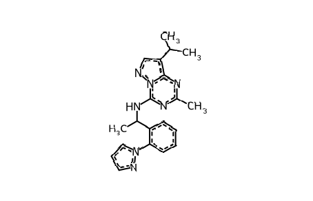 Cc1nc(NC(C)c2ccccc2-n2cccn2)n2ncc(C(C)C)c2n1